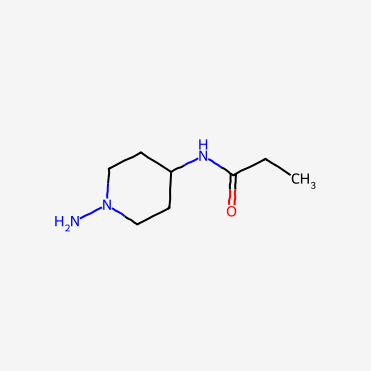 CCC(=O)NC1CCN(N)CC1